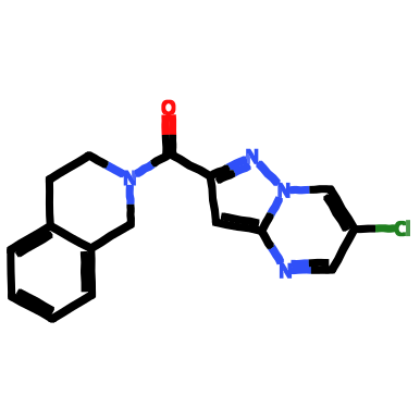 O=C(c1cc2ncc(Cl)cn2n1)N1CCc2ccccc2C1